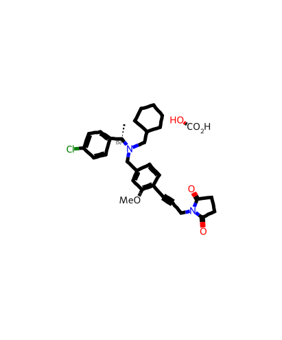 COc1cc(CN(CC2CCCCC2)[C@@H](C)c2ccc(Cl)cc2)ccc1C#CCN1C(=O)CCC1=O.O=C(O)O